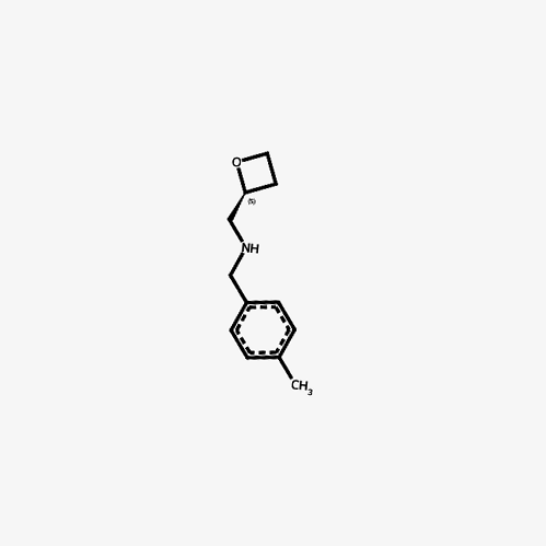 Cc1ccc(CNC[C@@H]2CCO2)cc1